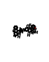 Cc1c2c(nn1CC1(C)CC(=O)C3=C(C1)Nc1n[nH]c(C(F)(F)F)c1C3(C)c1ccccc1F)NC1=C(C(=O)CC(C)(C)C1)C2c1ccccc1